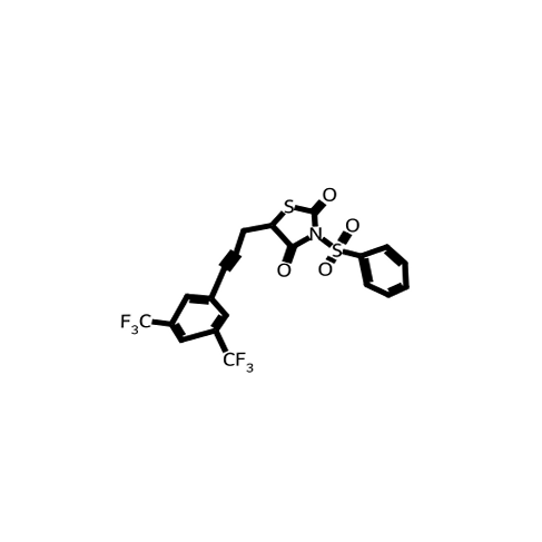 O=C1SC(CC#Cc2cc(C(F)(F)F)cc(C(F)(F)F)c2)C(=O)N1S(=O)(=O)c1ccccc1